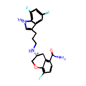 NC(=O)c1ccc(F)c2c1C[C@@H](NCCCc1c[nH]c3c(F)cc(F)cc13)CO2